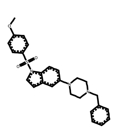 COc1ccc(S(=O)(=O)n2ccc3cc(N4CCN(Cc5ccccc5)CC4)ccc32)cc1